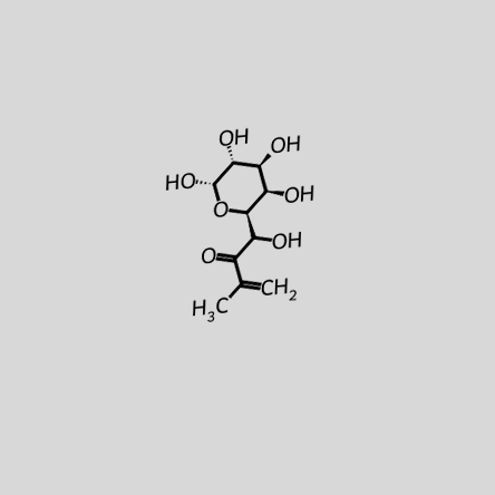 C=C(C)C(=O)C(O)[C@H]1O[C@H](O)[C@H](O)[C@@H](O)[C@H]1O